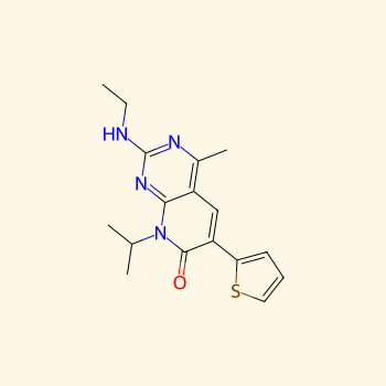 CCNc1nc(C)c2cc(-c3cccs3)c(=O)n(C(C)C)c2n1